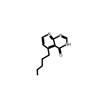 CCCCCc1ccnc2nc[nH]c(=O)c12